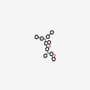 c1ccc(-c2ccc(N(c3ccc(-c4ccccc4)cc3)c3ccc4c5c(cccc35)Oc3cc(N(c5ccccc5)c5ccc6oc7ccccc7c6c5)ccc3-4)cc2)cc1